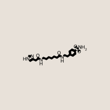 NS(=O)(=O)c1ccc(CCNC(=O)CCCCCCNC(=O)Cc2c[nH]cn2)cc1